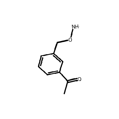 CC(=O)c1cccc(CO[NH])c1